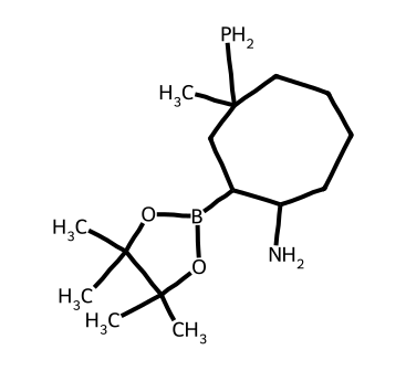 CC1(P)CCCCC(N)C(B2OC(C)(C)C(C)(C)O2)C1